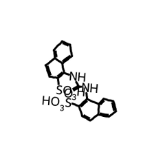 O=C(Nc1c(S(=O)(=O)O)ccc2ccccc12)Nc1c(S(=O)(=O)O)ccc2ccccc12